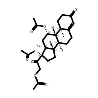 CC(=O)OCC(=O)[C@]1(OC(C)=O)CC[C@H]2[C@@H]3CCC4=CC(=O)CC[C@]4(C)[C@H]3[C@@H](OC(C)=O)C[C@@]21C